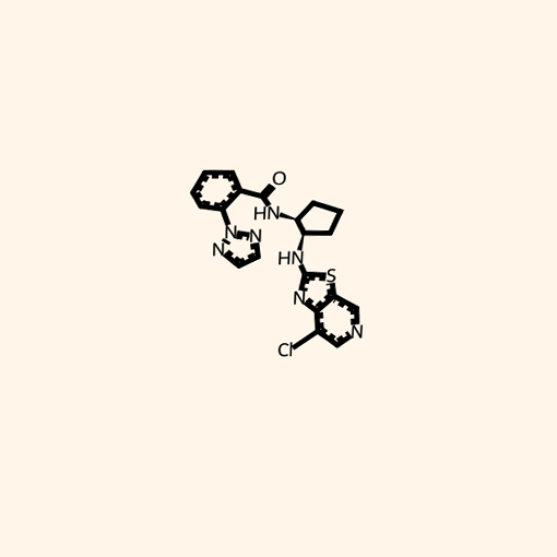 O=C(N[C@H]1CCC[C@H]1Nc1nc2c(Cl)cncc2s1)c1ccccc1-n1nccn1